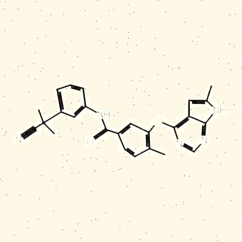 Cc1cc2c(Oc3cc(C(=O)Nc4cccc(C(C)(C)C#N)c4)ccc3C)ncnc2[nH]1